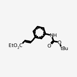 CCOC(=O)/C=C/c1cccc(NC(=O)OC(C)(C)C)c1